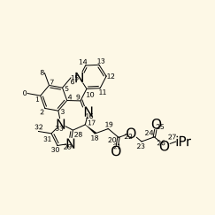 Cc1cc2c(c(C)c1C)C(c1ccccn1)=N[C@@H](CCC(=O)OCC(=O)OC(C)C)c1ncc(C)n1-2